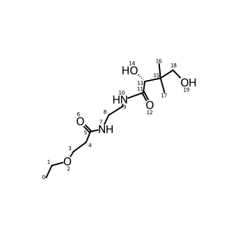 CCOCCC(=O)NCCNC(=O)[C@H](O)C(C)(C)CO